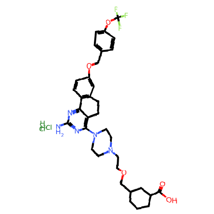 Cl.Cl.Nc1nc2c(c(N3CCN(CCOCC4CCCC(C(=O)O)C4)CC3)n1)CCc1cc(OCc3ccc(OC(F)(F)F)cc3)ccc1-2